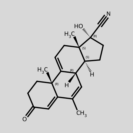 CC1=C[C@@H]2C(=CC[C@@]3(C)[C@H]2CC[C@]3(O)C#N)[C@@]2(C)CCC(=O)C=C12